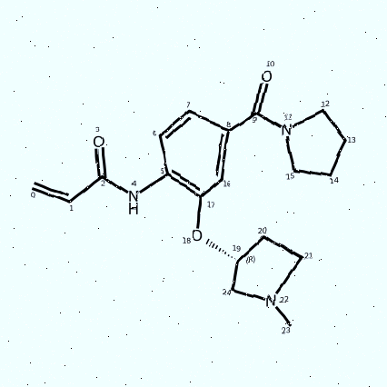 C=CC(=O)Nc1ccc(C(=O)N2CCCC2)cc1O[C@@H]1CCN(C)C1